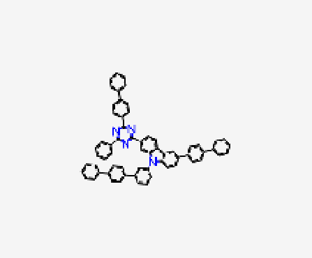 c1ccc(-c2ccc(-c3cccc(-n4c5ccc(-c6ccc(-c7ccccc7)cc6)cc5c5ccc(-c6nc(-c7ccccc7)nc(-c7ccc(-c8ccccc8)cc7)n6)cc54)c3)cc2)cc1